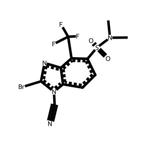 CN(C)S(=O)(=O)c1ccc2c(nc(Br)n2C#N)c1C(F)(F)F